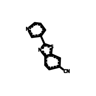 N#Cc1ccc2nc(-c3cccnc3)sc2c1